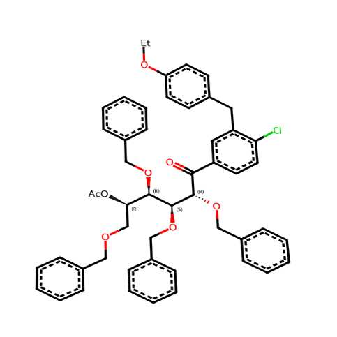 CCOc1ccc(Cc2cc(C(=O)[C@H](OCc3ccccc3)[C@@H](OCc3ccccc3)[C@H](OCc3ccccc3)[C@@H](COCc3ccccc3)OC(C)=O)ccc2Cl)cc1